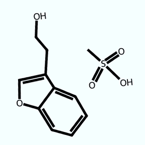 CS(=O)(=O)O.OCCc1coc2ccccc12